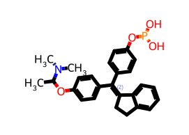 CC(Oc1ccc(/C(=C2\CCc3ccccc32)c2ccc(OP(O)O)cc2)cc1)N(C)C